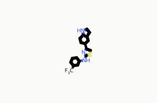 FC(F)(F)c1cccc(Nc2nc(-c3ccc4[nH]ccc4c3)cs2)c1